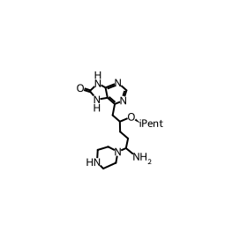 CCC[C@H](C)OC(CCC(N)N1CCNCC1)Cc1ncnc2[nH]c(=O)[nH]c12